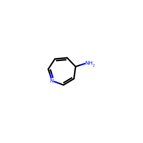 NC1C=CC=NC=C1